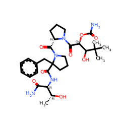 C[C@@H](O)[C@H](NC(=O)C1(Cc2ccccc2)CCCN1C(=O)[C@@H]1CCCN1C(=O)[C@@H](OC(N)=O)C(O)C(C)(C)C)C(N)=O